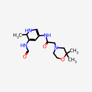 CC1NC=C(NC(=O)CN2CCOC(C)(C)C2)C=C1NC=O